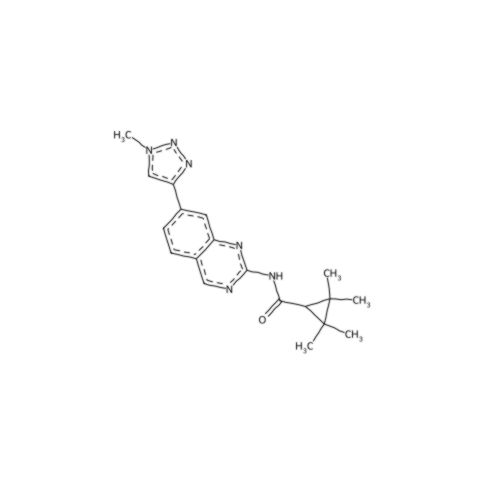 Cn1cc(-c2ccc3cnc(NC(=O)C4C(C)(C)C4(C)C)nc3c2)nn1